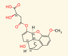 COc1ccc2c3c1O[C@@H]1C(OC(=O)C[C@@H](O)C(=O)O)=CC[C@]4(O)[C@@H](CCC[C@@]314)C2